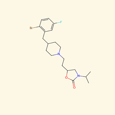 CC(C)N1CC(CCN2CCC(Cc3cc(F)ccc3Br)CC2)OC1=O